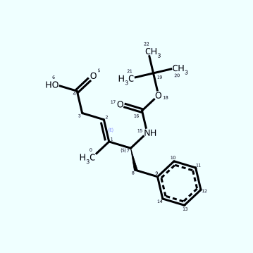 C/C(=C\CC(=O)O)[C@H](Cc1ccccc1)NC(=O)OC(C)(C)C